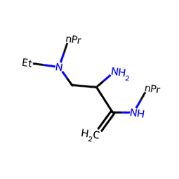 C=C(NCCC)C(N)CN(CC)CCC